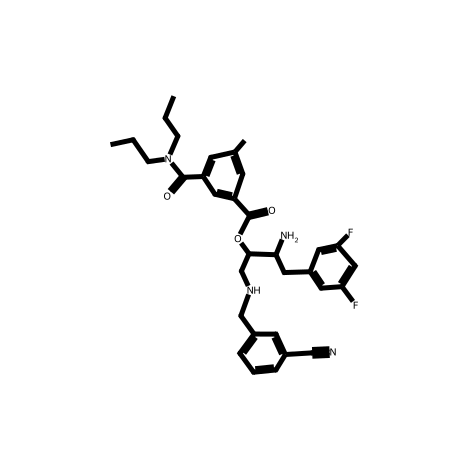 CCCN(CCC)C(=O)c1cc(C)cc(C(=O)OC(CNCc2cccc(C#N)c2)C(N)Cc2cc(F)cc(F)c2)c1